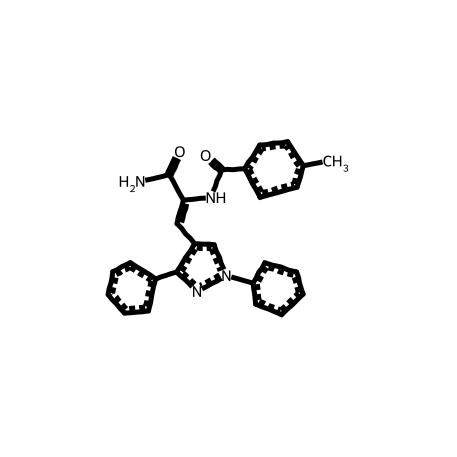 Cc1ccc(C(=O)N/C(=C\c2cn(-c3ccccc3)nc2-c2ccccc2)C(N)=O)cc1